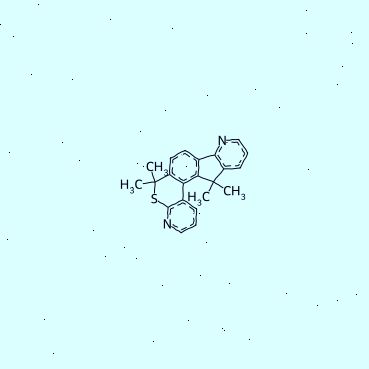 CC1(C)Sc2ncccc2-c2c1ccc1c2C(C)(C)c2cccnc2-1